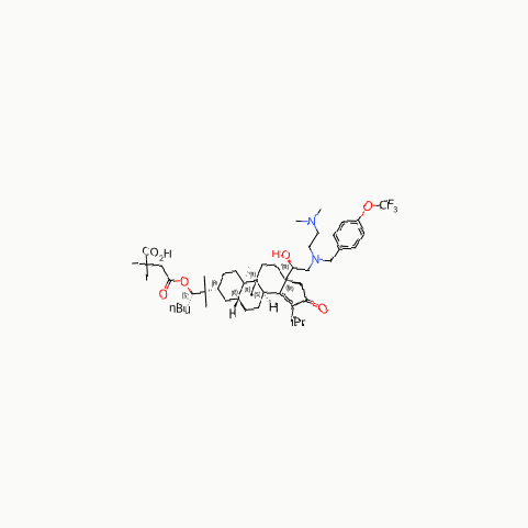 CCCC[C@H](OC(=O)CC(C)(C)C(=O)O)C(C)(C)[C@@H]1CC[C@]2(C)[C@H](CC[C@@H]3C4=C(C(C)C)C(=O)C[C@]4([C@@H](O)CN(CCN(C)C)Cc4ccc(OC(F)(F)F)cc4)CC[C@]32C)C1